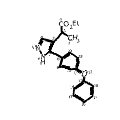 CCOC(=O)C(C)c1cn[nH]c1-c1ccc(Oc2ccccc2)cc1